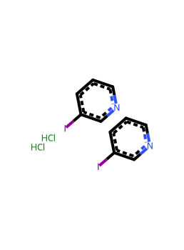 Cl.Cl.Ic1cccnc1.Ic1cccnc1